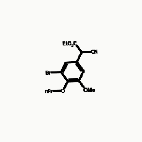 CCCOc1c(Br)cc(C(C#N)C(=O)OCC)cc1OC